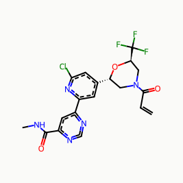 C=CC(=O)N1C[C@H](c2cc(Cl)nc(-c3cc(C(=O)NC)ncn3)c2)O[C@@H](C(F)(F)F)C1